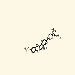 Cc1cc(Oc2n[nH]c3nc(N4CCC(C)(N)CC4)cnc23)c(Cl)cn1